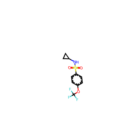 O=S(=O)(NC1CC1)c1ccc(OC(F)(F)F)cc1